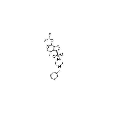 Cc1cnc(OC(F)F)c2ccn(S(=O)(=O)N3CCN(Cc4ccccc4)CC3)c12